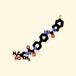 CC(C)(O)CNC(=O)C(=O)N1CCC(c2ccc(NC(=O)N3Cc4ccc(F)cc4C3)cc2)CC1